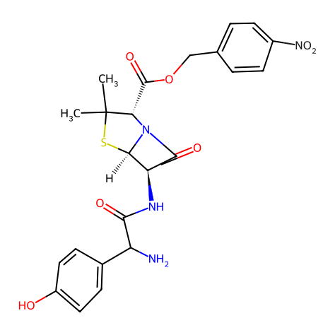 CC1(C)S[C@@H]2[C@H](NC(=O)C(N)c3ccc(O)cc3)C(=O)N2[C@H]1C(=O)OCc1ccc([N+](=O)[O-])cc1